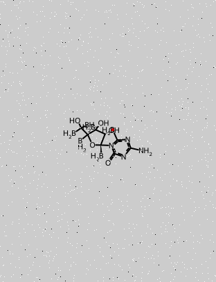 Bc1nc(N)nc(=O)n1[C@]1(B)OC(B)(C(B)(B)O)C(B)(O)[C@@H]1O